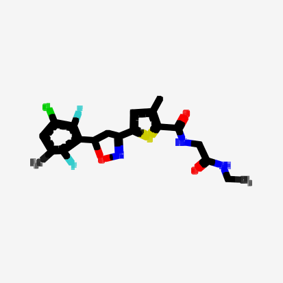 Cc1cc(C2=NOC(c3c(F)c(Cl)cc(C(F)(F)F)c3F)C2)sc1C(=O)NCC(=O)NCC(F)(F)F